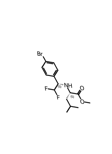 COC(=O)[C@H](CC(C)C)N[C@@H](c1ccc(Br)cc1)C(F)F